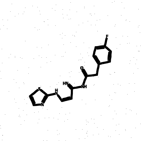 N=C(/C=C\Nc1nccs1)NC(=O)Cc1ccc(F)cc1